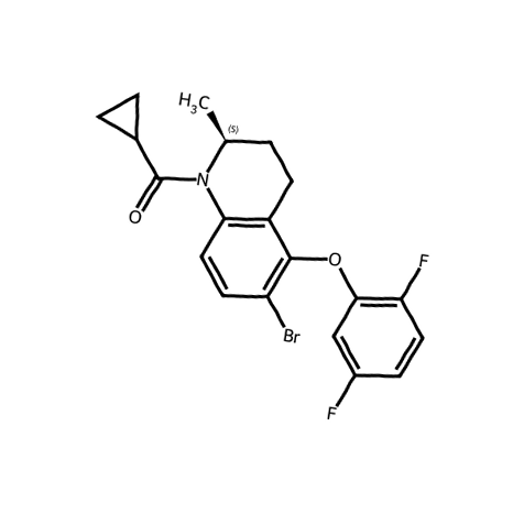 C[C@H]1CCc2c(ccc(Br)c2Oc2cc(F)ccc2F)N1C(=O)C1CC1